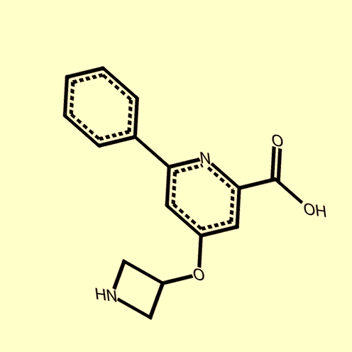 O=C(O)c1cc(OC2CNC2)cc(-c2ccccc2)n1